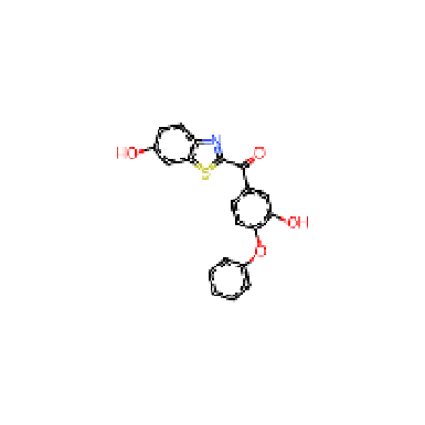 O=C(c1ccc(Oc2ccccc2)c(O)c1)c1nc2ccc(O)cc2s1